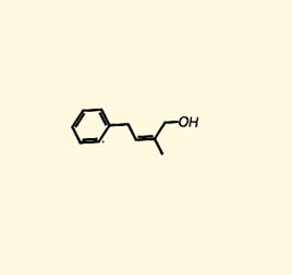 CC(=CCc1[c]cccc1)CO